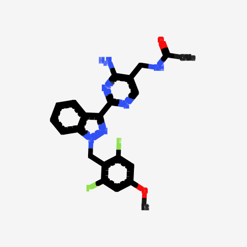 CCOc1cc(F)c(Cn2nc(-c3ncc(CNC(=O)OC)c(N)n3)c3ccccc32)c(F)c1